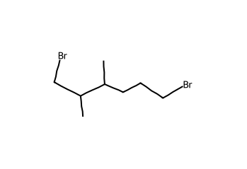 CC(CBr)C(C)CCCBr